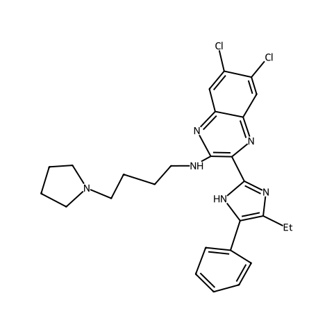 CCc1nc(-c2nc3cc(Cl)c(Cl)cc3nc2NCCCCN2CCCC2)[nH]c1-c1ccccc1